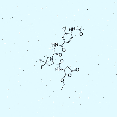 CCO[C@@H]1OC(=O)C[C@@H]1NC(=O)[C@@H]1CC(F)(F)CN1C(=O)[C@H](C)NC(=O)c1ccc(NC(C)=O)c(Cl)c1